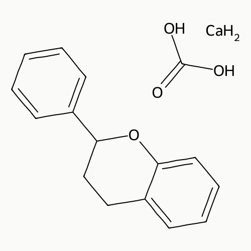 O=C(O)O.[CaH2].c1ccc(C2CCc3ccccc3O2)cc1